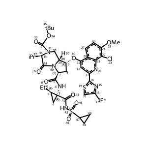 CC[C@@H]1C[C@]1(NC(=O)[C@@H]1C[C@@H](Oc2cc(-c3nc(C(C)C)cs3)nc3c(Cl)c(OC)ccc23)[C@H]2CN(C(=O)OC(C)(C)C)[C@H](C(C)C)C(=O)N21)C(=O)NS(=O)(=O)C1CC1